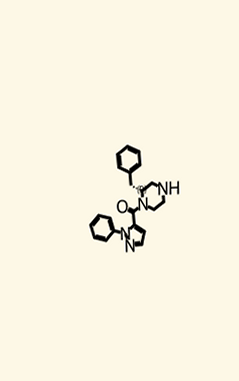 O=C(c1ccnn1-c1ccccc1)N1CCNC[C@H]1Cc1ccccc1